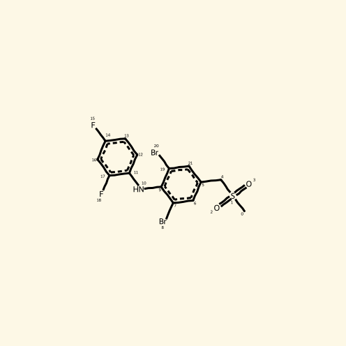 CS(=O)(=O)Cc1cc(Br)c(Nc2ccc(F)cc2F)c(Br)c1